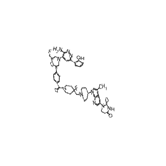 Cc1cn(C2CCN(CC3(F)CCN(C(=O)c4ccc([C@@H]5CN(c6cc(-c7ccccc7O)nnc6N)C[C@H](CF)O5)cc4)CC3)CC2)c2ncc(N3CCC(=O)NC3=O)cc12